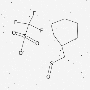 O=S(=O)([O-])C(F)(F)F.O=[S+]CC1CCCCC1